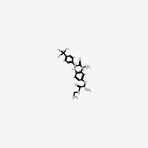 CCOC(=O)[C@@H](C)Oc1ccc2c(c1)N(C)C(=O)N(c1ccc(C(F)(F)F)cc1)S2